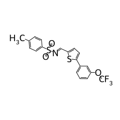 Cc1ccc(S(=O)(=O)/N=C/c2ccc(-c3cccc(OC(F)(F)F)c3)s2)cc1